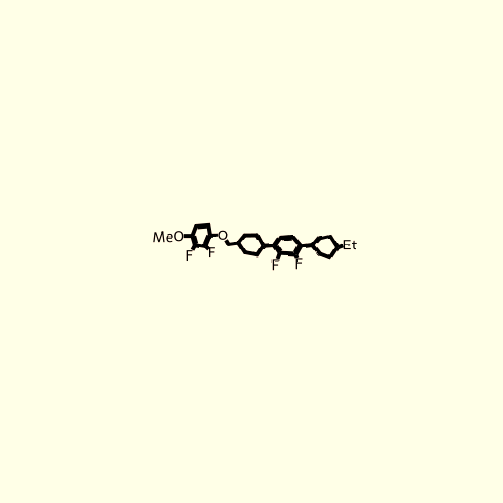 CCC1CCC(c2ccc(C3CCC(COc4ccc(OC)c(F)c4F)CC3)c(F)c2F)CC1